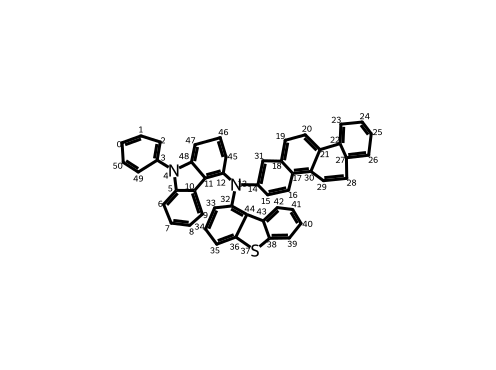 c1ccc(-n2c3ccccc3c3c(N(c4ccc5c(ccc6c7ccccc7ccc56)c4)c4cccc5sc6ccccc6c45)cccc32)cc1